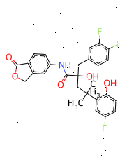 CC(C)(CC(O)(Cc1ccc(F)c(F)c1)C(=O)Nc1ccc2c(c1)COC2=O)c1cc(F)ccc1O